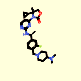 C[C@H](Nc1nccc(N2C(=O)OCC2(C)C2CC2)n1)c1ccc(CN2CCC(N(C)C)CC2)c(F)c1